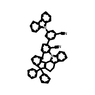 N#Cc1cc(-c2ccc(C#N)c(-n3c4c(c5ccccc53)CCC3=C4c4ccccc4C3(c3ccccc3)c3ccccc3)c2C#N)cc(-n2c3ccccc3c3ccccc32)c1